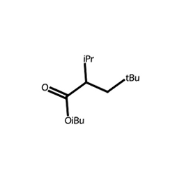 CC(C)COC(=O)C(CC(C)(C)C)C(C)C